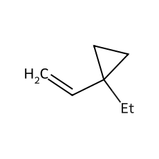 C=CC1(CC)CC1